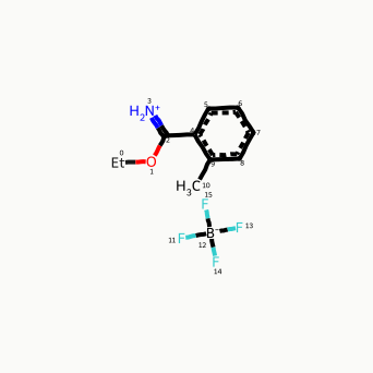 CCOC(=[NH2+])c1ccccc1C.F[B-](F)(F)F